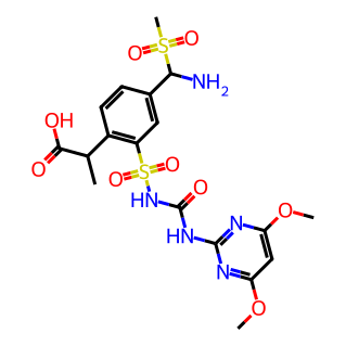 COc1cc(OC)nc(NC(=O)NS(=O)(=O)c2cc(C(N)S(C)(=O)=O)ccc2C(C)C(=O)O)n1